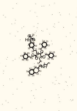 CCCN[C@@H](CCCC(OCc1ccccc1)C(OCc1ccccc1)N(CCc1ccc(NS(C)(=O)=O)cc1)C(=O)OCc1ccccc1)C1CCc2ccccc2C1